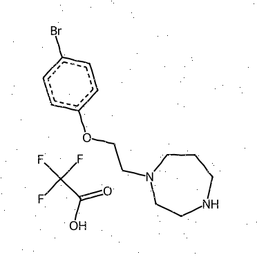 Brc1ccc(OCCN2CCCNCC2)cc1.O=C(O)C(F)(F)F